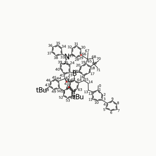 Cc1cc(-c2ccccc2)ccc1CCC1c2cc3c(cc2B(c2cc(N(c4ccccc4)c4ccccc4)ccc2C(C)c2ccc(C(C)(C)C)cc2-c2ccccc2)c2c(C)cc(C(C)(C)C)cc21)C(C)(C)CC3(C)C